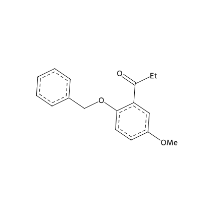 CCC(=O)c1cc(OC)ccc1OCc1ccccc1